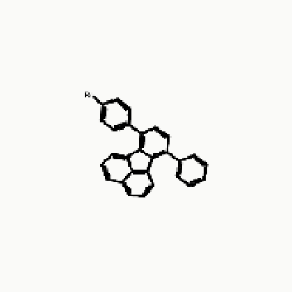 Brc1ccc(-c2ccc(-c3ccccc3)c3c2-c2cccc4cccc-3c24)cc1